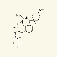 COCN(C)/C(N)=N\C1c2cc(-c3cncc(C(F)(F)F)c3)ccc2CC12CCC(OC)CC2